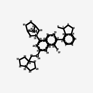 CC1CCc2cccc(-c3ncc4c(N5CC6CCC(C5)N6)nc(OCC56CCCN5CCC6)nc4c3F)c21